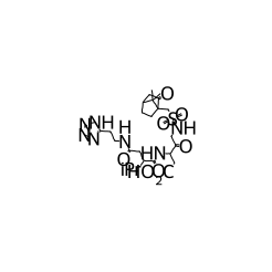 CC(C)C(CC(=O)NCCc1nnn[nH]1)C(=O)NC(CC(=O)O)C(=O)CNS(=O)(=O)CC12CCC(CC1=O)C2(C)C